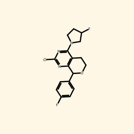 Fc1ccc(C2OCCc3c2nc(Cl)nc3N2CCC(F)C2)cc1